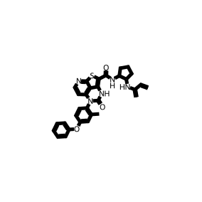 C=CC(=C)NC1CCCC1NC(=O)c1sc2nccc3c2c1NC(=O)N3c1ccc(Oc2ccccc2)cc1C